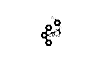 CCC(C)c1ccc(OC(COC)OCCOc2c(-c3ccccc3)cccc2-c2ccccc2)cc1